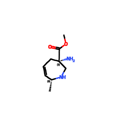 COC(=O)[C@]1(N)CC=C[C@@H](C)NC1